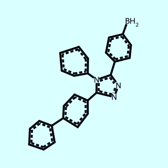 Bc1ccc(-c2nnc(-c3ccc(-c4ccccc4)cc3)n2-c2ccccc2)cc1